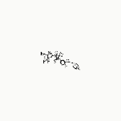 CN1CCN(CCOc2cc(N3C(=S)N(c4cnc(C#N)c(C(F)(F)F)c4)C(=O)C34CCC4)ccc2F)CC1